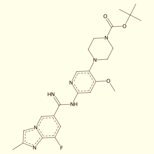 COc1cc(NC(=N)c2cc(F)c3nc(C)cn3c2)ncc1N1CCN(C(=O)OC(C)(C)C)CC1